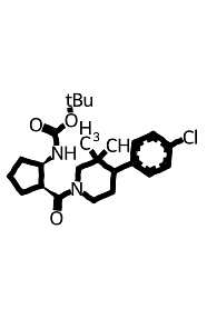 CC(C)(C)OC(=O)N[C@@H]1CCC[C@@H]1C(=O)N1CCC(c2ccc(Cl)cc2)C(C)(C)C1